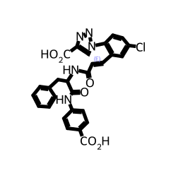 O=C(/C=C/c1cc(Cl)ccc1-n1cc(C(=O)O)nn1)NC(Cc1ccccc1)C(=O)Nc1ccc(C(=O)O)cc1